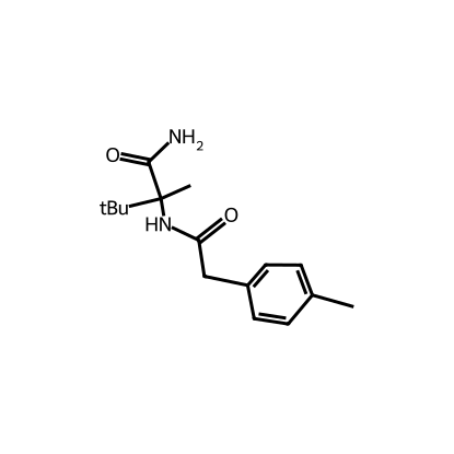 Cc1ccc(CC(=O)NC(C)(C(N)=O)C(C)(C)C)cc1